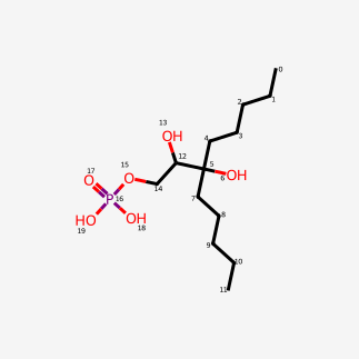 CCCCCC(O)(CCCCC)C(O)COP(=O)(O)O